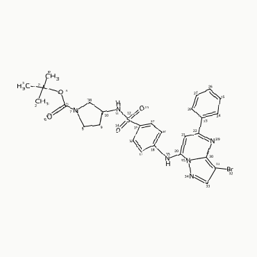 CC(C)(C)OC(=O)N1CCC(NS(=O)(=O)c2ccc(Nc3cc(-c4ccccc4)nc4c(Br)cnn34)cc2)C1